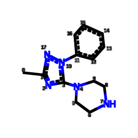 Cc1nc(N2CCNCC2)n(-c2ccccc2)n1